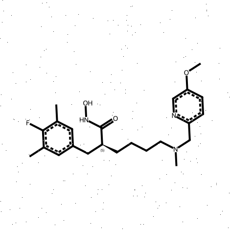 COc1ccc(CN(C)CCCC[C@@H](Cc2cc(C)c(F)c(C)c2)C(=O)NO)nc1